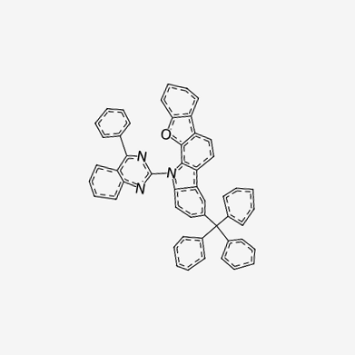 c1ccc(-c2nc(-n3c4ccc(C(c5ccccc5)(c5ccccc5)c5ccccc5)cc4c4ccc5c6ccccc6oc5c43)nc3ccccc23)cc1